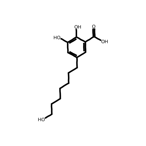 O=C(O)c1cc(CCCCCCCO)cc(O)c1O